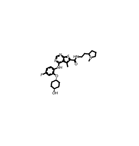 Cc1c(C(=O)NCCC2CCCN2C)sc2ncnc(Nc3ccc(F)cc3O[C@H]3CC[C@H](O)CC3)c12